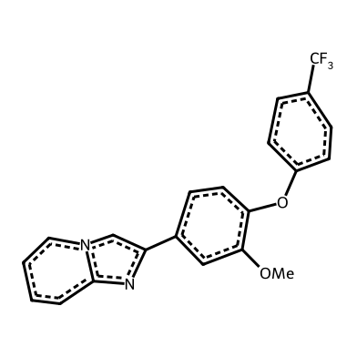 COc1cc(-c2cn3ccccc3n2)ccc1Oc1ccc(C(F)(F)F)cc1